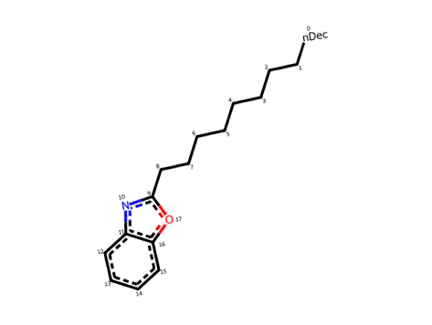 CCCCCCCCCCCCCCCCCCc1nc2ccccc2o1